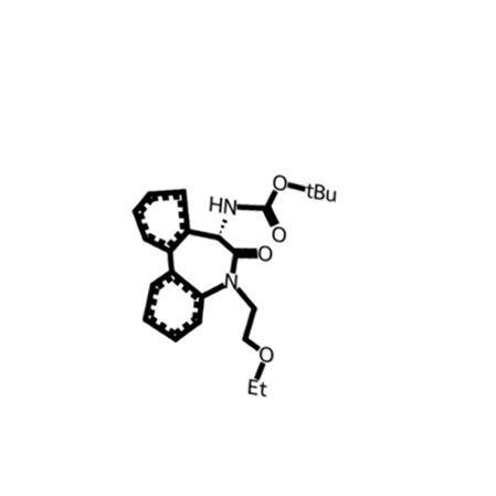 CCOCCN1C(=O)[C@@H](NC(=O)OC(C)(C)C)c2ccccc2-c2ccccc21